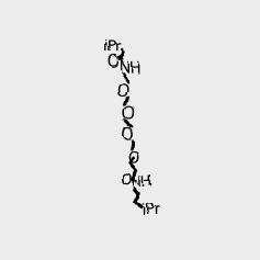 CC(C)CCCNC(=O)CCOCCOCCOCCOCCNC(=O)CC(C)C